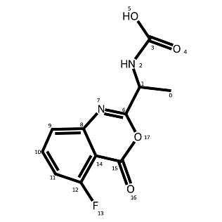 CC(NC(=O)O)c1nc2cccc(F)c2c(=O)o1